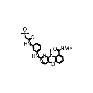 CNC(=O)c1ccccc1Nc1nc(Nc2cccc(NC(=O)CP(C)(C)=O)c2)ncc1Cl